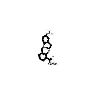 COC(=O)c1cccc(CN2CCc3cc(C(F)(F)F)ccc32)c1F